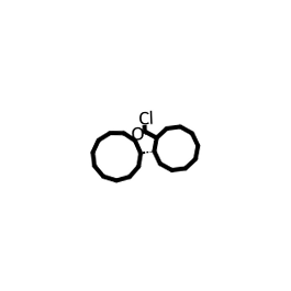 O=C(Cl)C1CCCCCCCC[C@@H]1C1CCCCCCCCCC1